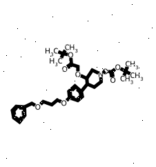 CC(C)(C)OC(=O)COC1CN(OC(=O)OC(C)(C)C)CCC1c1ccc(OCCCOCc2ccccc2)cc1